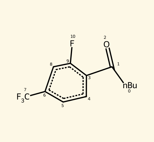 CCCCC(=O)c1ccc(C(F)(F)F)cc1F